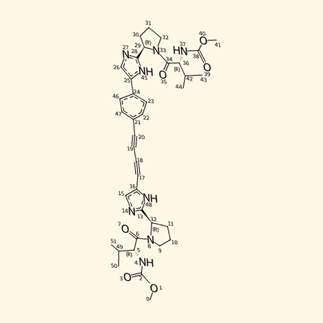 COC(=O)N[C@@H](C(=O)N1CCC[C@@H]1c1ncc(C#CC#Cc2ccc(-c3cnc([C@H]4CCCN4C(=O)[C@H](NC(=O)OC)C(C)C)[nH]3)cc2)[nH]1)C(C)C